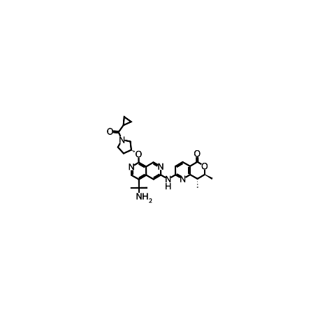 C[C@@H]1OC(=O)c2ccc(Nc3cc4c(C(C)(C)N)cnc(O[C@@H]5CCN(C(=O)C6CC6)C5)c4cn3)nc2[C@H]1C